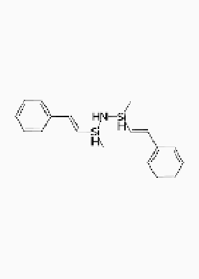 C[SiH](C=Cc1ccccc1)N[SiH](C)C=Cc1ccccc1